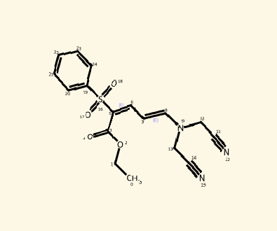 CCOC(=O)/C(=C\C=C\N(CC#N)CC#N)S(=O)(=O)c1ccccc1